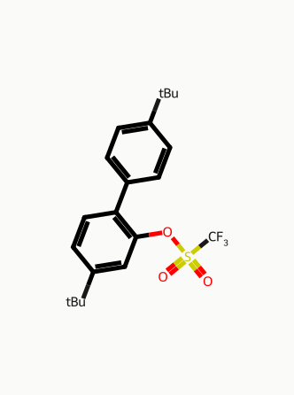 CC(C)(C)c1ccc(-c2ccc(C(C)(C)C)cc2OS(=O)(=O)C(F)(F)F)cc1